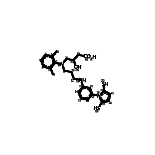 Cc1cccc(C)c1N(CCCNc1cccc(-n2c(S)ccc2S)c1)CC(O)CC(=O)O